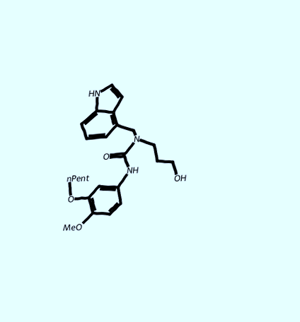 CCCCCOc1cc(NC(=O)N(CCCO)Cc2cccc3[nH]ccc23)ccc1OC